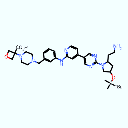 CC(C)(C)[Si](C)(C)OC1CC(CCN)N(c2ncc(-c3ccnc(Nc4cccc(CN5CCN(C6(C(=O)O)COC6)CC5)c4)c3)cn2)C1